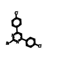 Clc1ccc(-c2cc(-c3ccc(Cl)cc3)nc(Br)n2)cc1